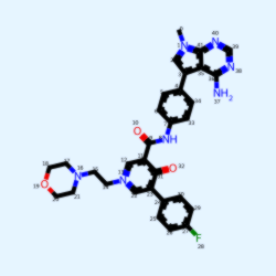 Cn1cc(-c2ccc(NC(=O)c3cn(CCN4CCOCC4)cc(-c4ccc(F)cc4)c3=O)cc2)c2c(N)ncnc21